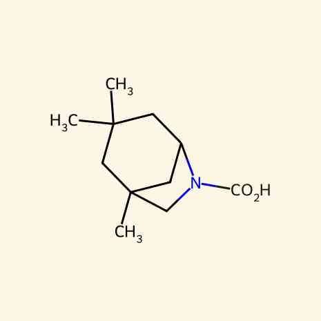 CC1(C)CC2CC(C)(CN2C(=O)O)C1